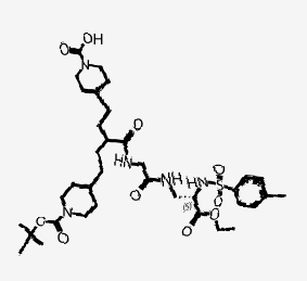 CCOC(=O)[C@H](CNC(=O)CNC(=O)C(CCC1CCN(C(=O)O)CC1)CCC1CCN(C(=O)OC(C)(C)C)CC1)NS(=O)(=O)c1ccc(C)cc1